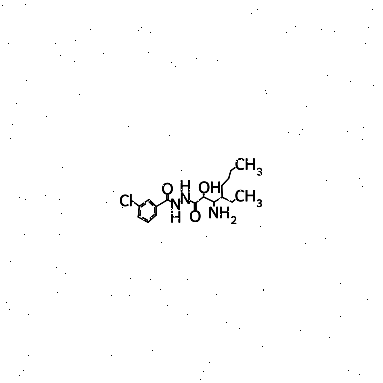 CCCCC(CC)[C@@H](N)[C@H](O)C(=O)NNC(=O)c1cccc(Cl)c1